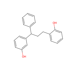 Oc1cccc(C(CCc2ccccc2O)c2ccccc2)c1